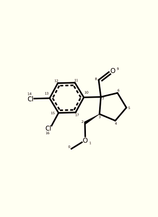 COC[C@@H]1CCCC1(C=O)c1ccc(Cl)c(Cl)c1